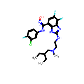 CCC(CC)CN(C)CCNc1nc2c(F)c(F)cc(/C(=N\O)Nc3ccc(F)c(Cl)c3)c2[nH]1